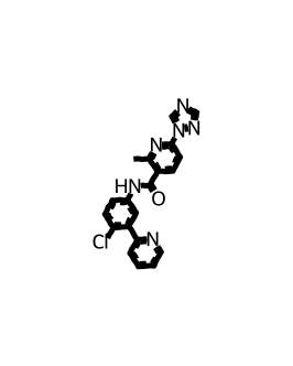 Cc1nc(-n2cncn2)ccc1C(=O)Nc1ccc(Cl)c(-c2ccccn2)c1